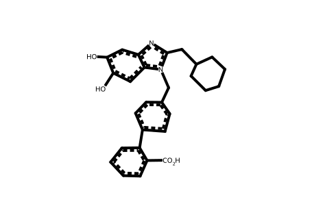 O=C(O)c1ccccc1-c1ccc(Cn2c(CC3CCCCC3)nc3cc(O)c(O)cc32)cc1